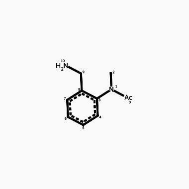 CC(=O)N(C)c1ccccc1CN